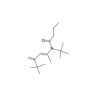 C=C(/C=C(\C)N(C(=O)CCC)C(C)(C)C)C(C)(C)C